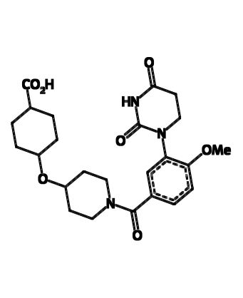 COc1ccc(C(=O)N2CCC(OC3CCC(C(=O)O)CC3)CC2)cc1N1CCC(=O)NC1=O